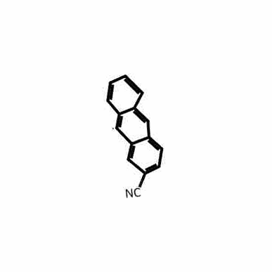 N#Cc1ccc2cc3ccccc3[c]c2c1